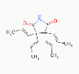 CC=CC1(C=CC)C(=O)NC(=O)C1(C=CC)C=CC